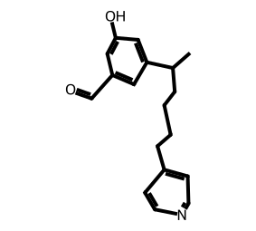 CC(CCCCc1ccncc1)c1cc(O)cc(C=O)c1